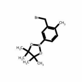 Cc1ccc(B2OC(C)(C)C(C)(C)O2)cc1CBr